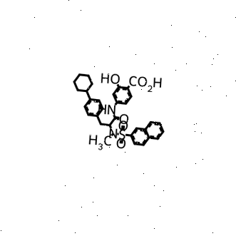 CN(C(Cc1ccc(C2CCCCC2)cc1)C(=O)Nc1ccc(C(=O)O)c(O)c1)S(=O)(=O)c1ccc2ccccc2c1